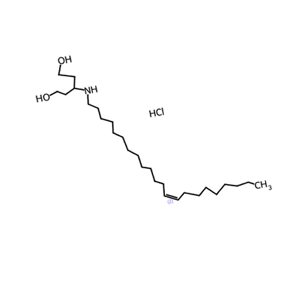 CCCCCCCC/C=C\CCCCCCCCCCCCNC(CCO)CCO.Cl